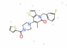 Cc1c(N2CCN(C(=O)c3cccs3)CC2)c2sccc2n(Cc2cccc(F)c2)c1=O